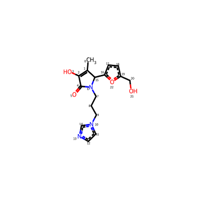 CC1=C(O)C(=O)N(CCCn2ccnc2)C1c1ccc(CO)o1